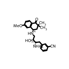 COc1ccc2c(c1)[C@H](NC[C@H](O)[C@H](Cc1cccc(C#N)c1)NC(C)=O)CC(C)(C)C2=O